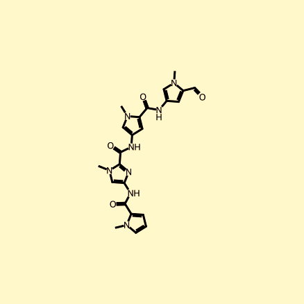 Cn1cc(NC(=O)c2cc(NC(=O)c3nc(NC(=O)c4cccn4C)cn3C)cn2C)cc1C=O